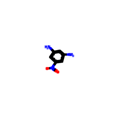 Nc1cc(N)cc([N+](=O)[O-])c1